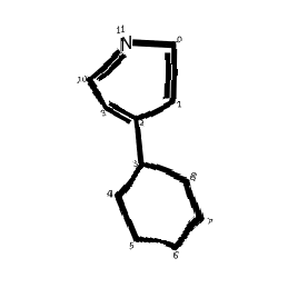 c1cc([C]2CCCCC2)ccn1